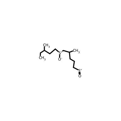 CCC(C)CC[S+]([O-])CC(C)CCC[S+]=O